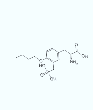 CCCCOc1ccc(C[C@H](N)C(=O)O)cc1CP(=O)(O)O